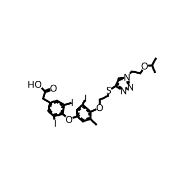 Cc1cc(Oc2c(I)cc(CC(=O)O)cc2I)cc(I)c1OCCSc1cn(CCOC(C)C)nn1